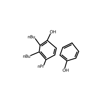 CCCCc1c(O)ccc(CCC)c1CCCC.Oc1ccccc1